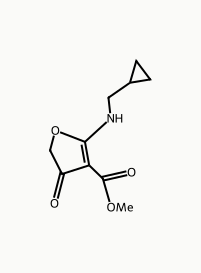 COC(=O)C1=C(NCC2CC2)OCC1=O